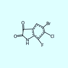 O=C1Nc2c(cc(Br)c(Cl)c2F)C1=O